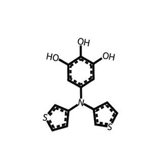 Oc1cc(N(c2ccsc2)c2ccsc2)cc(O)c1O